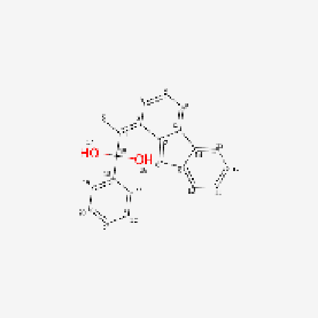 CC(=c1cccc2c1=Cc1ccccc1-2)C(O)(O)c1ccccc1